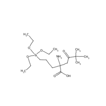 CCO[Si](CCCC(N)(CC(=O)C(C)(C)C)C(=O)O)(OCC)OCC